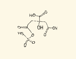 O=C(O)CC(O)(CC(=O)OS(=O)(=O)S)C(=O)O